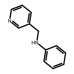 [CH](Nc1ccccc1)c1cccnc1